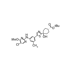 COc1nc(Nc2cc(C)cc(-c3cnc([C@]4(O)CC[C@H](C(=O)OC(C)(C)C)CC4)s3)c2)ncc1Cl